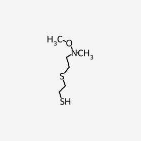 CON(C)CCSCCS